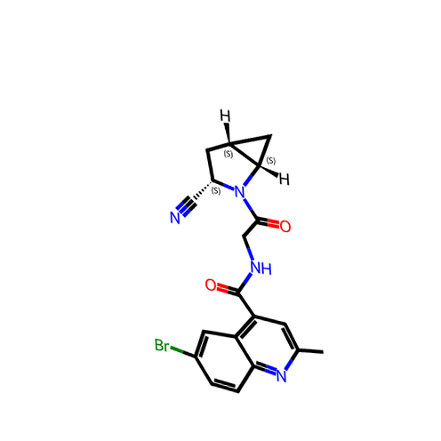 Cc1cc(C(=O)NCC(=O)N2[C@H](C#N)C[C@@H]3C[C@@H]32)c2cc(Br)ccc2n1